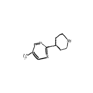 FC(F)(F)c1cnc(C2CCNCC2)nc1